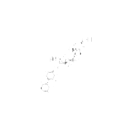 C[C@]12CC[C@H]3[C@@H](CC=C4C[C@@H](O)CC[C@@]43C)[C@@H]1CC[C@@H]2[C@H](O)CCc1ccc(-c2ccccc2)cc1